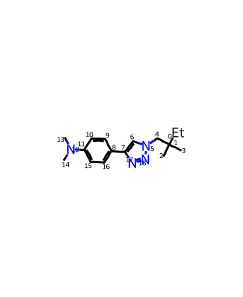 CCC(C)(C)Cn1cc(-c2ccc(N(C)C)cc2)nn1